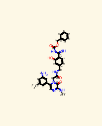 CC(C)Nc1ncc(-c2cc(N)cc(C(F)(F)F)c2)n(CC(=O)NCc2ccc(C(=N)NC(=O)OCc3ccccc3)c(O)c2)c1=O